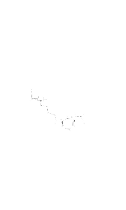 CC(C)CN1CCO[C@H](CCCCCNC(C)C)C1